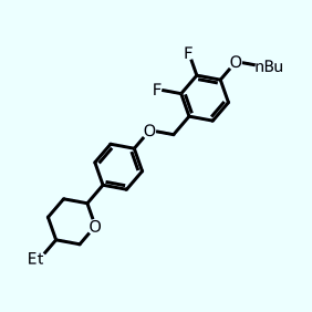 CCCCOc1ccc(COc2ccc(C3CCC(CC)CO3)cc2)c(F)c1F